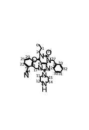 CCCn1c(=O)c2c(nc(N3CCNCC3)n2Cc2ccccc2C#N)n(Cc2ccccc2)c1=O